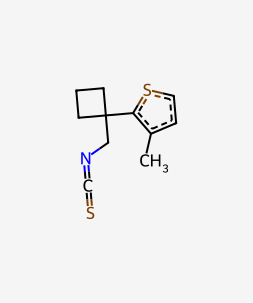 Cc1ccsc1C1(CN=C=S)CCC1